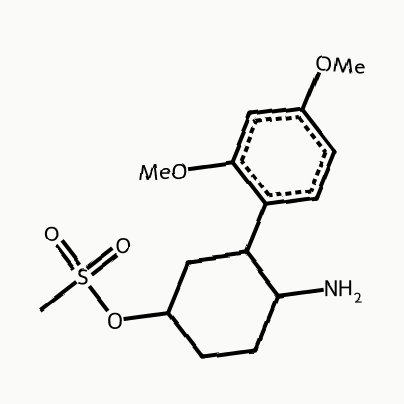 COc1ccc(C2CC(OS(C)(=O)=O)CCC2N)c(OC)c1